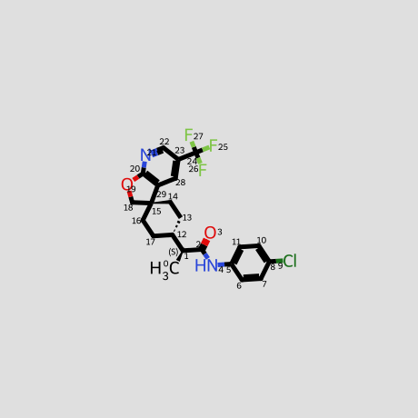 C[C@H](C(=O)Nc1ccc(Cl)cc1)[C@H]1CC[C@@]2(CC1)COc1ncc(C(F)(F)F)cc12